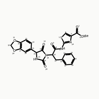 COC(=O)c1csc(NC(=O)C(Cc2ccccc2)N2C(=O)NC(c3ccc4c(c3)OCO4)C2=O)n1